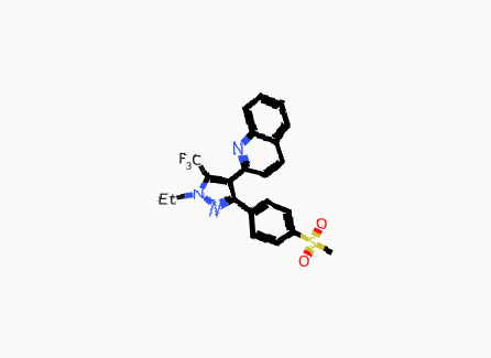 CCn1nc(-c2ccc(S(C)(=O)=O)cc2)c(-c2ccc3ccccc3n2)c1C(F)(F)F